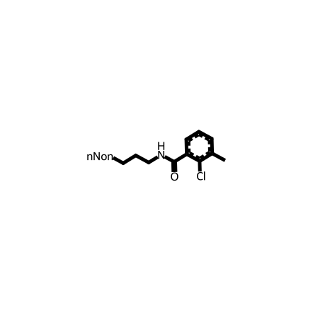 CCCCCCCCCCCCNC(=O)c1cccc(C)c1Cl